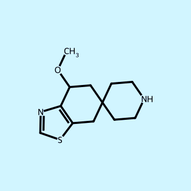 COC1CC2(CCNCC2)Cc2scnc21